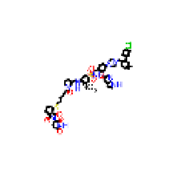 CC1(C)CCC(CN2CCN(c3ccc(C(=O)NS(=O)(=O)c4ccc(NCC5CCCN(C(=O)CCCCCSc6cccc7c6C(=O)N(C6CCC(=O)NC6=O)C7=O)C5)c([N+](=O)[O-])c4)c(Oc4cnc5[nH]ccc5c4)c3)CC2)=C(c2ccc(Cl)cc2)C1